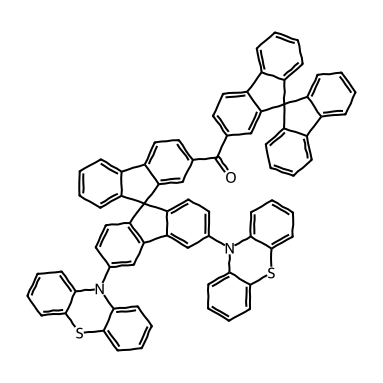 O=C(c1ccc2c(c1)C1(c3ccccc3-c3ccccc31)c1ccccc1-2)c1ccc2c(c1)C1(c3ccccc3-2)c2ccc(N3c4ccccc4Sc4ccccc43)cc2-c2cc(N3c4ccccc4Sc4ccccc43)ccc21